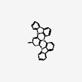 CC1C=C2C3=C(C1)n1c4ccccc4c4cccc(c41)B3c1cccc3c4ccccc4n2c13